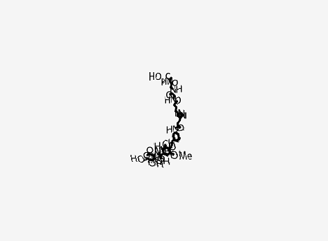 COc1cc(C(=O)N[C@H]2[C@@H](OC)O[C@H](CO)[C@@H](O)[C@@H]2O)cc(Cl)c1OCc1cccc(NC(=O)CCc2cn(CCCC(=O)NCC(=O)NCC(=O)NCC(=O)O)nn2)c1